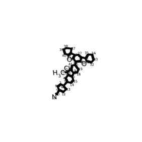 CC1(C)c2cc(-c3ccc(C#N)cc3)ccc2-c2ccc(-c3c4oc5c(c4cc4c3oc3ccccc34)CCC=C5)cc21